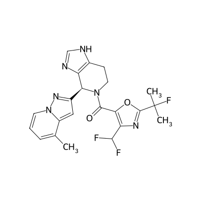 Cc1cccn2nc([C@H]3c4nc[nH]c4CCN3C(=O)c3oc(C(C)(C)F)nc3C(F)F)cc12